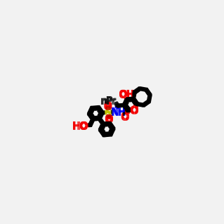 CCCC(NS(=O)(=O)c1cccc(CO)c1-c1ccccc1)c1c(O)c2c(oc1=O)CCCCCC2